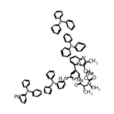 Cc1nc2cccc(-c3cc(N)nc(NC(=O)C(C)N(C)C(=O)OC(C)(C)C)c3)n2c1C.[Pd].c1ccc(P(c2ccccc2)c2ccccc2)cc1.c1ccc(P(c2ccccc2)c2ccccc2)cc1.c1ccc(P(c2ccccc2)c2ccccc2)cc1.c1ccc(P(c2ccccc2)c2ccccc2)cc1